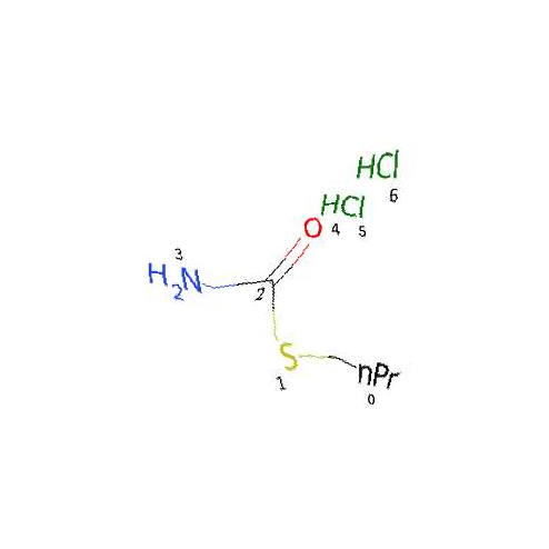 CCCSC(N)=O.Cl.Cl